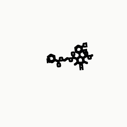 COC(=O)C1=C(C)NC(C)=C(C(=O)OCCOC(=O)c2cccnc2)C1c1cccc(Cl)c1Cl